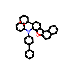 c1ccc(-c2ccc(N(c3ccccc3)c3c(-c4ccccc4)ccc4c3oc3ccc5ccccc5c34)cc2)cc1